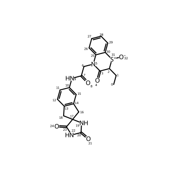 CCC1C(=O)N(CC(=O)Nc2ccc3c(c2)CC2(C3)NC(=O)NC2=O)c2ccccc2[S+]1[O-]